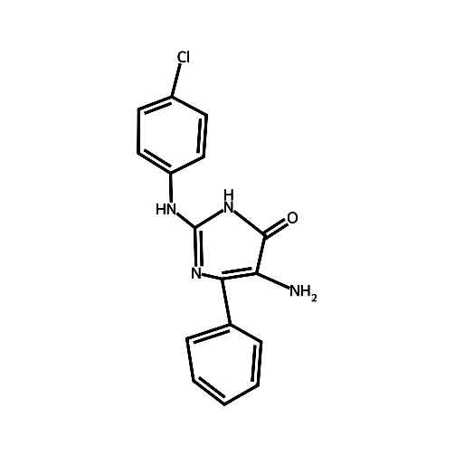 Nc1c(-c2ccccc2)nc(Nc2ccc(Cl)cc2)[nH]c1=O